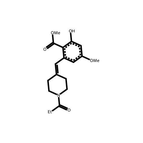 CCC(=O)N1CCC(=Cc2cc(OC)cc(O)c2C(=O)OC)CC1